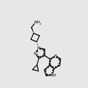 NC[C@H]1C[C@H](n2cc(-c3nccc4[nH]ccc34)c(C3CC3)n2)C1